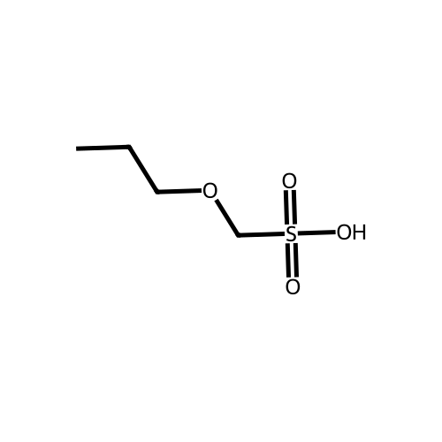 CCCOCS(=O)(=O)O